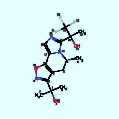 C[C@@H]1Cc2c(C(C)(C)O)noc2-c2cnc(C(C)(O)C(F)(F)F)n21